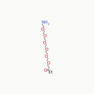 CCC(=O)CCOCCOCCOCCOCCOCCOCCN